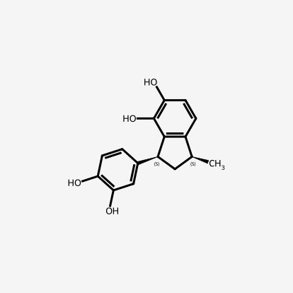 C[C@H]1C[C@@H](c2ccc(O)c(O)c2)c2c1ccc(O)c2O